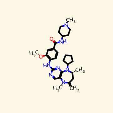 C=C1C[C@@H](C)N(C2CCCC2)c2nc(Nc3ccc(C(=O)NC4CCN(C)CC4)cc3OC)ncc2N1C